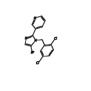 Clc1ccc(Cl)c(Cn2c(Br)cnc2-c2cccnc2)c1